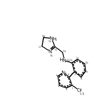 FC(F)(F)c1cccnc1-c1ccccc1NCC1=NCCN1